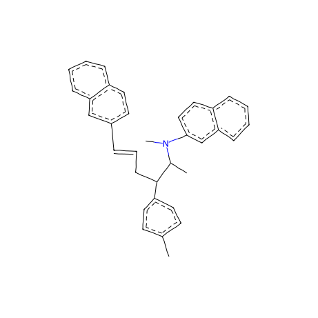 Cc1ccc(C(C/C=C/c2ccc3ccccc3c2)C(C)N(C)c2ccc3ccccc3c2)cc1